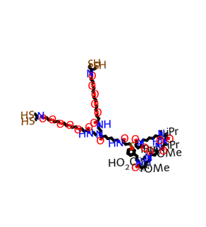 CC[C@H](C)[C@@H]([C@@H](CC(=O)N1CC[C@@H]([C@H](OC)[C@@H](C)C(=O)N[C@@H](Cc2ccccc2)C(=O)O)C1)OC)N(C)C(=O)C(NC(=O)[C@H](C(C)C)N(C)C(=O)CCCCCN1C(=O)CC(SCCC(=O)NCCCCCC(=O)N(CCNC(=O)CCOCCOCCOCCOCCON=C(CS)CS)CCNC(=O)CCOCCOCCOCCOCCON=C(CS)CS)C1=O)C(C)C